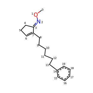 CON=C1CCC=C1CCCCCCc1ccccc1